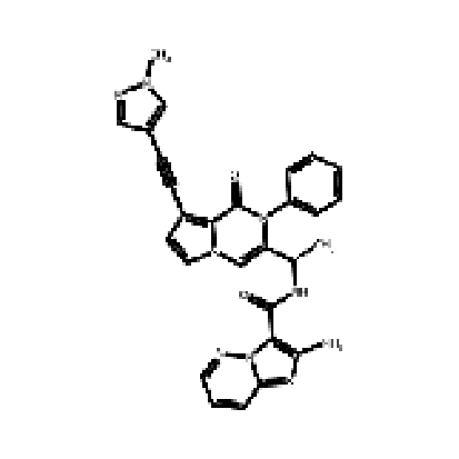 C[C@@H](NC(=O)c1c(N)nc2cccnn12)c1cn2ccc(C#Cc3cnn(C)c3)c2c(=O)n1-c1ccccc1